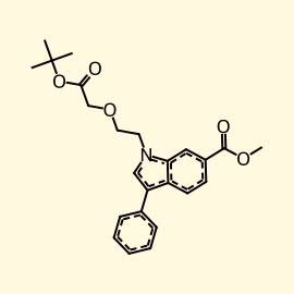 COC(=O)c1ccc2c(-c3ccccc3)cn(CCOCC(=O)OC(C)(C)C)c2c1